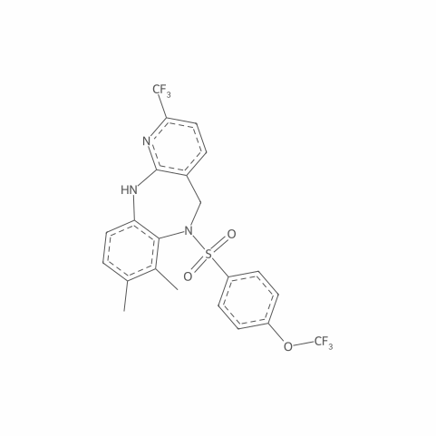 Cc1ccc2c(c1C)N(S(=O)(=O)c1ccc(OC(F)(F)F)cc1)Cc1ccc(C(F)(F)F)nc1N2